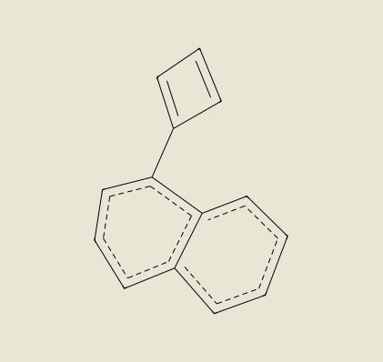 C1=CC(c2cccc3ccccc23)=C1